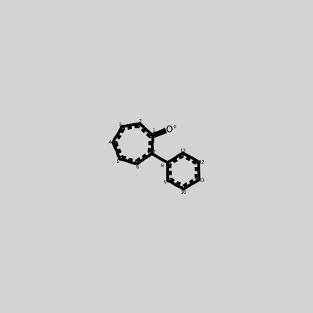 O=c1cccccc1-c1[c]cccc1